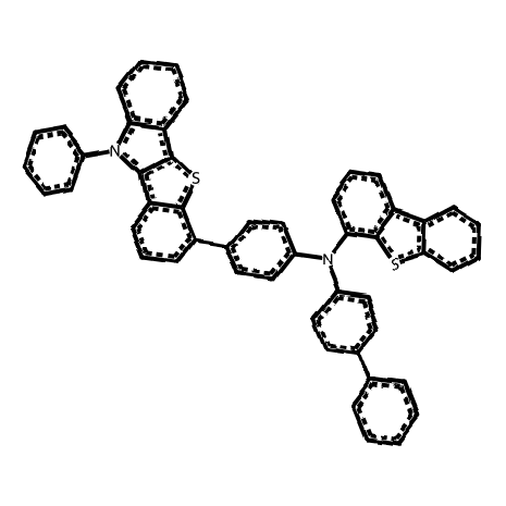 c1ccc(-c2ccc(N(c3ccc(-c4cccc5c4sc4c6ccccc6n(-c6ccccc6)c54)cc3)c3cccc4c3sc3ccccc34)cc2)cc1